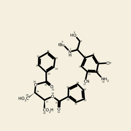 CC(C)(C)NC(CO)c1cc(Cl)c(N)c(C#N)c1.O=C(O[C@@H](C(=O)O)[C@@H](OC(=O)c1ccccc1)C(=O)O)c1ccccc1